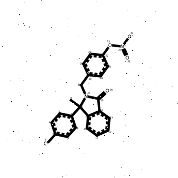 CC1(c2ccc(Cl)cc2)c2ccccc2C(=O)N1Cc1ccc(O[N+](=O)[O-])cc1